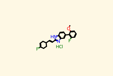 COc1cccc(F)c1-c1ccc2[nH]c(C=CC3CC=C(F)CC3)nc2c1.Cl